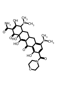 CN(C)c1cc(C(=O)N2CCOCC2)c(O)c2c1CC1CC3C(N(C)C)C(O)=C(C(N)=O)C(=O)C3(O)C(O)=C1C2=O